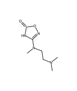 CN(C)CCN(C)C1=NOS(=O)N1